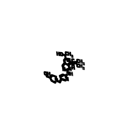 CC(O)c1cc2cnc(Nc3ccc(CN4CCC(CO)CC4)cn3)nc2c(NC(C)(C)C)n1